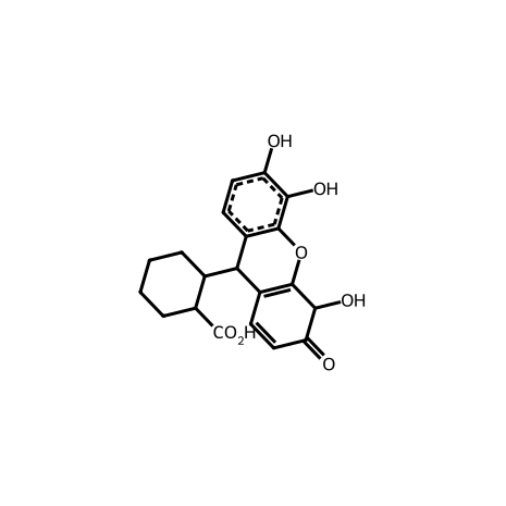 O=C1C=CC2=C(Oc3c(ccc(O)c3O)C2C2CCCCC2C(=O)O)C1O